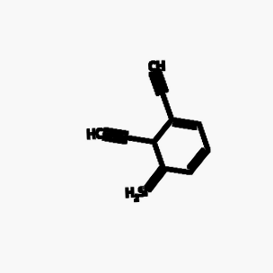 C#CC1=CC=CC(=[SiH2])C1C#C